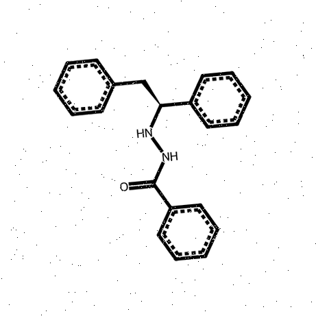 O=C(NN[C@@H](Cc1ccccc1)c1ccccc1)c1ccccc1